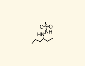 CCCC(CC)NNS(C)(=O)=O